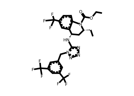 CCOC(=O)N1c2ccc(C(F)(F)F)cc2[C@@H](Nc2nnnn2Cc2cc(C(F)(F)F)cc(C(F)(F)F)c2)C[C@H]1CC